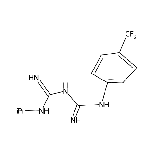 CC(C)NC(=N)NC(=N)Nc1ccc(C(F)(F)F)cc1